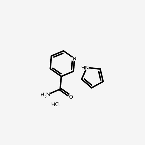 Cl.NC(=O)c1cccnc1.c1cc[nH]c1